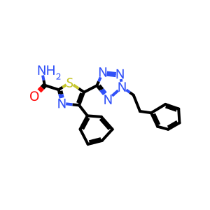 NC(=O)c1nc(-c2ccccc2)c(-c2nnn(CCc3ccccc3)n2)s1